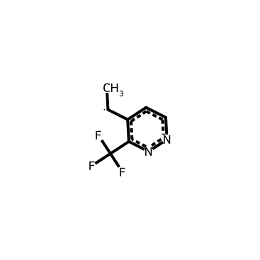 C[CH]c1ccnnc1C(F)(F)F